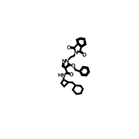 O=C(NC1CCC1CC1CCCCC1)c1cnn(CCN2C(=O)c3ccccc3C2=O)c1OCc1ccccc1